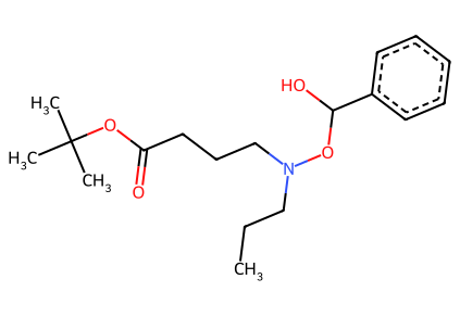 CCCN(CCCC(=O)OC(C)(C)C)OC(O)c1ccccc1